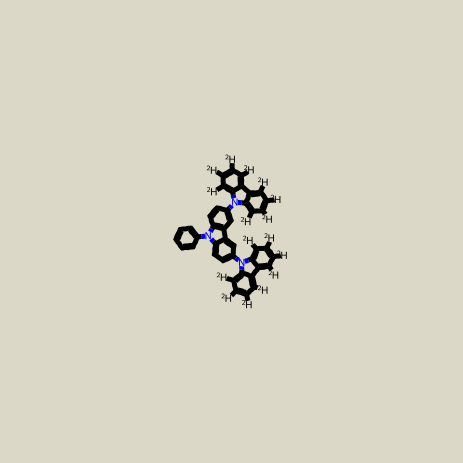 [2H]c1c([2H])c([2H])c2c(c1[2H])c1c([2H])c([2H])c([2H])c([2H])c1n2-c1ccc2c(c1)c1cc(-n3c4c([2H])c([2H])c([2H])c([2H])c4c4c([2H])c([2H])c([2H])c([2H])c43)ccc1n2-c1ccccc1